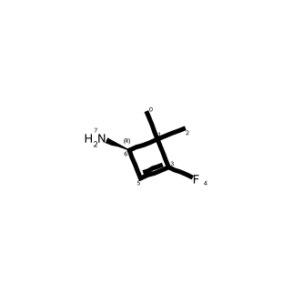 CC1(C)C(F)=C[C@H]1N